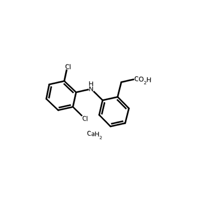 O=C(O)Cc1ccccc1Nc1c(Cl)cccc1Cl.[CaH2]